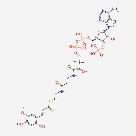 COc1cc(/C=C/C(=O)SCCNC(=O)CCNC(=O)[C@H](O)C(C)(C)COP(=O)(O)OP(=O)(O)OC[C@H]2O[C@@H](n3cnc4c(N)ncnc43)[C@H](O)[C@@H]2OP(=O)(O)O)c(O)cc1O